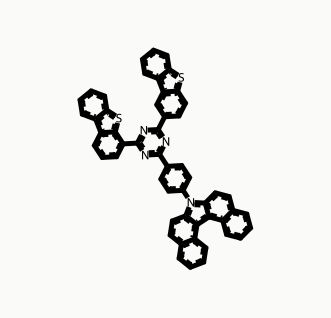 c1ccc2c(c1)ccc1c2c2c3ccccc3ccc2n1-c1ccc(-c2nc(-c3ccc4sc5ccccc5c4c3)nc(-c3cccc4c3sc3ccccc34)n2)cc1